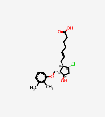 Cc1cccc(OC[C@@H]2[C@@H](CC=CCCCC(=O)O)[C@H](Cl)C[C@H]2O)c1C